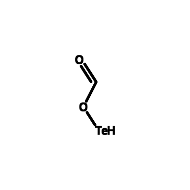 O=CO[TeH]